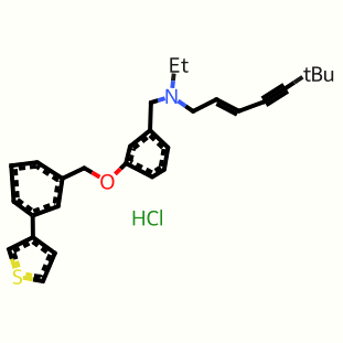 CCN(CC=CC#CC(C)(C)C)Cc1cccc(OCc2cccc(-c3ccsc3)c2)c1.Cl